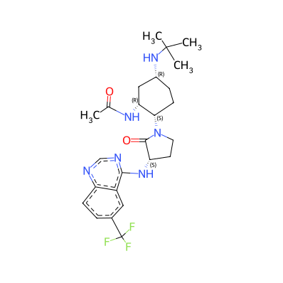 CC(=O)N[C@@H]1C[C@H](NC(C)(C)C)CC[C@@H]1N1CC[C@H](Nc2ncnc3ccc(C(F)(F)F)cc23)C1=O